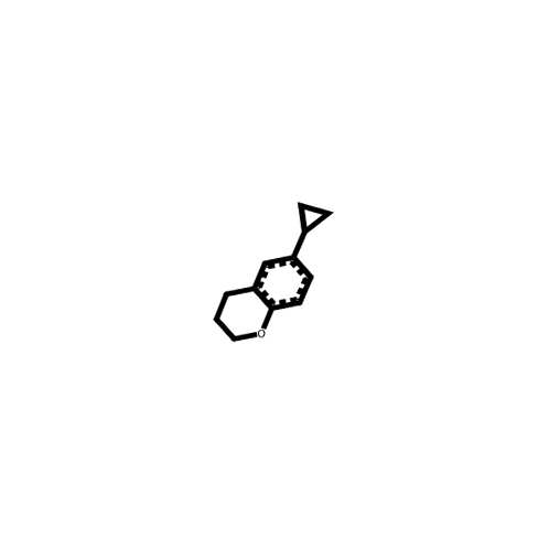 c1cc2c(cc1C1CC1)CCCO2